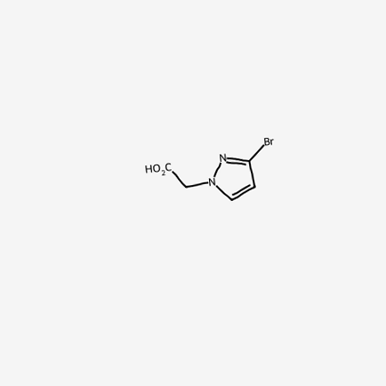 O=C(O)Cn1ccc(Br)n1